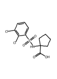 O=C(O)C1(NS(=O)(=O)c2cccc(Cl)c2Cl)CCCC1